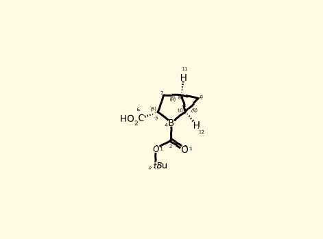 CC(C)(C)OC(=O)B1[C@H](C(=O)O)C[C@H]2C[C@@H]12